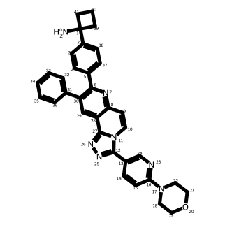 NC1(c2ccc(-c3nc4ccn5c(-c6ccc(N7CCOCC7)nc6)nnc5c4cc3-c3ccccc3)cc2)CCC1